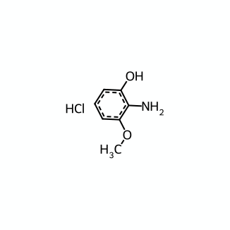 COc1cccc(O)c1N.Cl